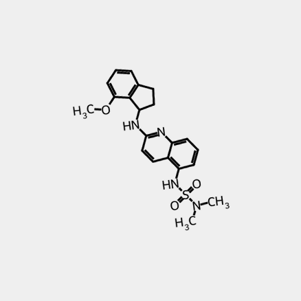 COc1cccc2c1C(Nc1ccc3c(NS(=O)(=O)N(C)C)cccc3n1)CC2